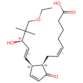 CCOCC(C)(C)[C@H](O)/C=C/[C@@H]1C=CC(=O)[C@@H]1C/C=C\CCCC(=O)O